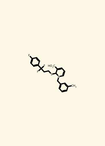 Cc1cccc(CN2C=CC=C(C(=O)O)C2SCCC(F)(F)c2ccc(F)cc2)c1